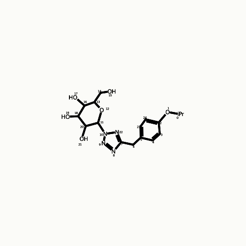 CC(C)Oc1ccc(Cc2nnn(C3OC(CO)C(O)C(O)C3O)n2)cc1